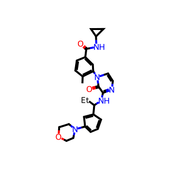 CCC(Nc1nccn(-c2cc(C(=O)NC3CC3)ccc2C)c1=O)c1cccc(N2CCOCC2)c1